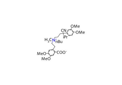 CCCC[N+](C)(CCCC(C#N)(c1ccc(OC)c(OC)c1)C(C)C)CCc1cc(OC)c(OC)cc1C(=O)[O-]